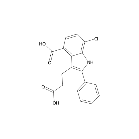 O=C(O)CCc1c(-c2ccccc2)[nH]c2c(Cl)ccc(C(=O)O)c12